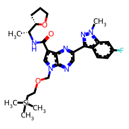 C[C@@H](NC(=O)c1cn(COCC[Si](C)(C)C)c2ncc(-c3nn(C)c4cc(F)ccc34)nc12)[C@@H]1CCCO1